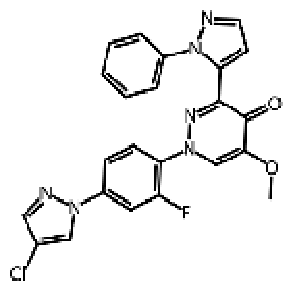 COc1cn(-c2ccc(-n3cc(Cl)cn3)cc2F)nc(-c2ccnn2-c2ccccc2)c1=O